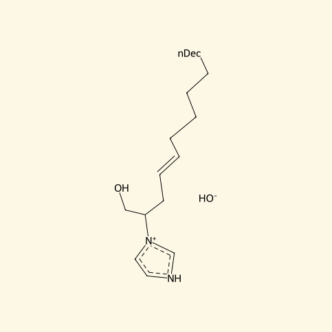 CCCCCCCCCCCCCCC=CCC(CO)[n+]1cc[nH]c1.[OH-]